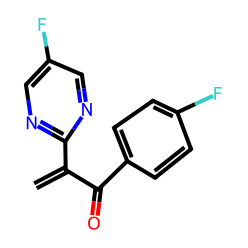 C=C(C(=O)c1ccc(F)cc1)c1ncc(F)cn1